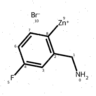 NCc1cc(F)cc[c]1[Zn+].[Br-]